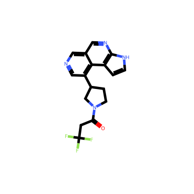 O=C(CC(F)(F)F)N1CCC(c2cncc3cnc4[nH]ccc4c23)C1